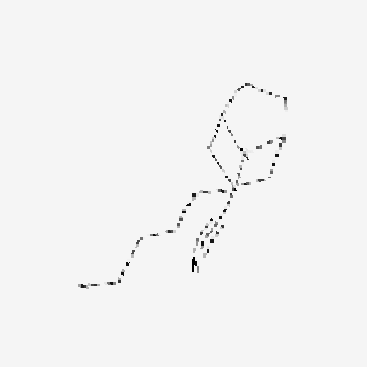 CCCCCCN1C2CCC1CC(C#N)C2